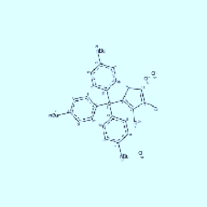 CCCCc1ccc([Si](C2=[C]([Ti+3])C(C)=CC2)(c2ccc(CCCC)cc2)c2ccc(CCCC)cc2)cc1.[Cl-].[Cl-].[Cl-]